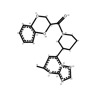 Cc1cc(C2CCCN(C(=O)C3COc4ccccc4O3)C2)n2ncnc2n1